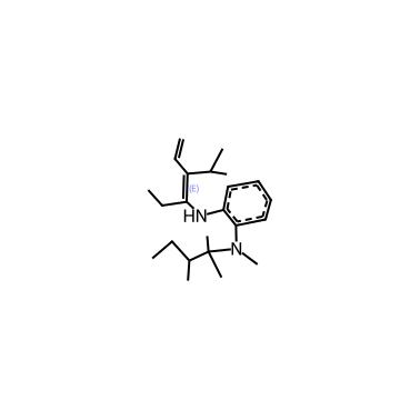 C=C/C(=C(\CC)Nc1ccccc1N(C)C(C)(C)C(C)CC)C(C)C